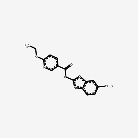 O=C(O)c1ccc2nc(NC(=O)c3ccc(OCC(F)(F)F)nc3)sc2c1